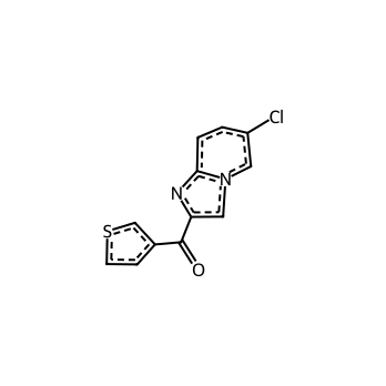 O=C(c1ccsc1)c1cn2cc(Cl)ccc2n1